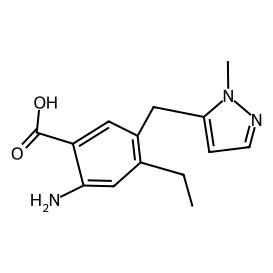 CCc1cc(N)c(C(=O)O)cc1Cc1ccnn1C